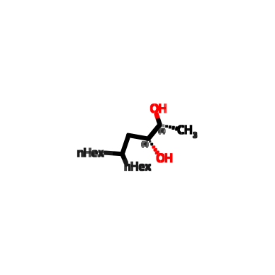 CCCCCCC(CCCCCC)C[C@@H](O)[C@@H](C)O